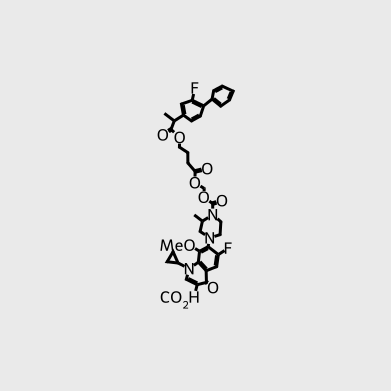 COc1c(N2CCN(C(=O)OCOC(=O)CCCOC(=O)C(C)c3ccc(-c4ccccc4)c(F)c3)C(C)C2)c(F)cc2c(=O)c(C(=O)O)cn(C3CC3)c12